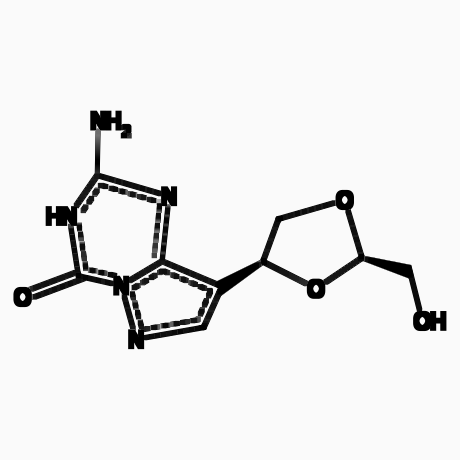 Nc1nc2c([C@H]3CO[C@@H](CO)O3)cnn2c(=O)[nH]1